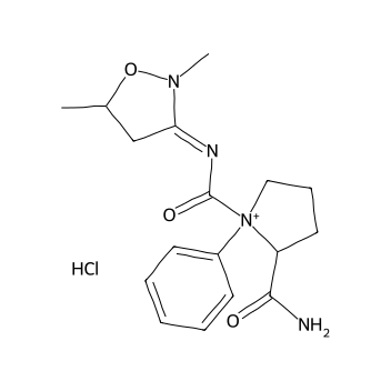 CC1CC(=NC(=O)[N+]2(c3ccccc3)CCCC2C(N)=O)N(C)O1.Cl